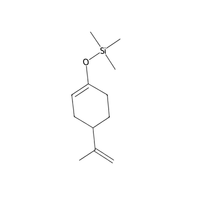 C=C(C)C1CC=C(O[Si](C)(C)C)CC1